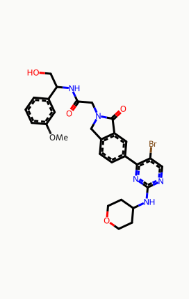 COc1cccc(C(CO)NC(=O)CN2Cc3ccc(-c4nc(NC5CCOCC5)ncc4Br)cc3C2=O)c1